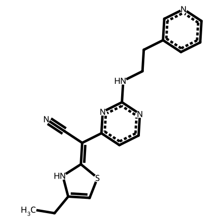 CCC1=CS/C(=C(/C#N)c2ccnc(NCCc3cccnc3)n2)N1